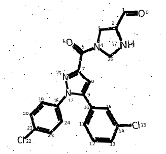 O=CC1CN(C(=O)c2cc(-c3cccc(Cl)c3)n(-c3ccc(Cl)cc3)n2)CN1